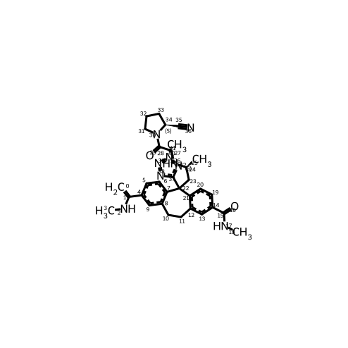 C=C(NC)c1ccc2c(c1)CCc1cc(C(=O)NC)ccc1C2(C[C@H](C)NCC(=O)N1CCC[C@H]1C#N)c1nnn(C)n1